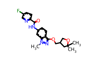 Cn1nc(OCC2COC(C)(C)C2)c2ccc(NC(=O)c3ccc(F)cn3)cc21